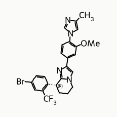 COc1cc(-c2cn3c(n2)[C@@H](c2ccc(Br)cc2C(F)(F)F)CCC3)ccc1-n1cnc(C)c1